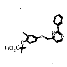 Cc1cc(SCc2ccnc(-c3ccccc3)n2)ccc1OC(C)(C)C(=O)O